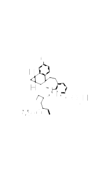 C=C[C@H](OC)[C@@H]1CC[C@H]1CN1C[C@]2(CCc3ccc(C(=O)O)nc31)C[C@@H]1C[C@@H]1c1cc(Cl)ccc12